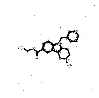 CCOC(=O)c1ccc2c(c1)c1c(n2Cc2cccnc2)CCN(C)C1